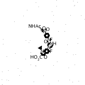 CC(=O)NC[C@H]1CN(c2ccc(N(F)C(=O)[C@H]3CN(c4cc5c(cc4F)c(=O)c(C(=O)O)cn5C4CC4)CCN3)cc2)C(=O)O1